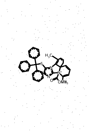 COC(=O)[N+]12C(C)=CC=CC13CC=CC(C)=C3n1c(SC(c3ccccc3)(c3ccccc3)c3ccccc3)cnc12